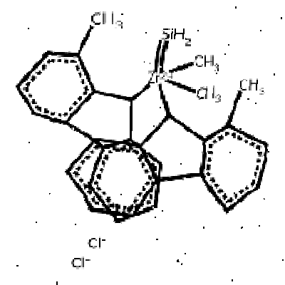 Cc1cccc2c1[CH]([Zr+2]([CH3])([CH3])(=[SiH2])[CH]1c3ccccc3-c3cccc(C)c31)c1ccccc1-2.[Cl-].[Cl-]